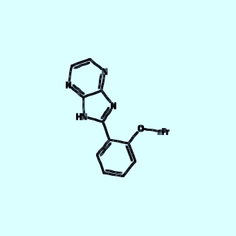 CCCOc1ccccc1-c1nc2nccnc2[nH]1